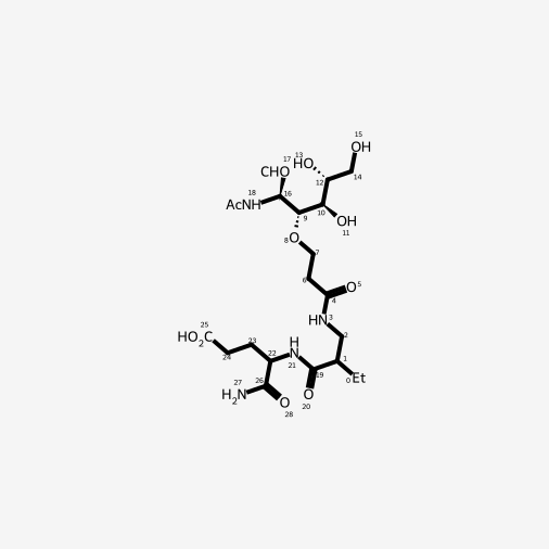 CCC(CNC(=O)CCO[C@@H]([C@H](O)[C@H](O)CO)[C@H](C=O)NC(C)=O)C(=O)NC(CCC(=O)O)C(N)=O